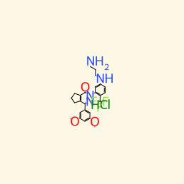 COc1cc(OC)cc(-c2nn(-c3cc(NCCCN)ccc3C(F)(F)F)c(=O)c3c2CCC3)c1.Cl